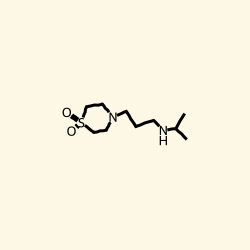 CC(C)NCCCN1CCS(=O)(=O)CC1